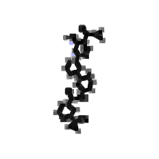 C=N/C(=C\C(=N/C)NC(=O)C1CC1)c1cccc(-c2cc(NC(=O)c3ccnc(C4(C#N)CC4)c3)ccc2C)c1